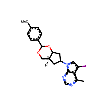 COc1ccc(C2OC[C@@H]3CC(n4cc(I)c5c(C)ncnc54)CC3O2)cc1